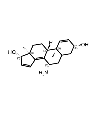 C[C@]12CC[C@H]3C(=C1C=C[C@@H]2O)[C@@H](N)CC1C[C@@H](O)C=C[C@@]13C